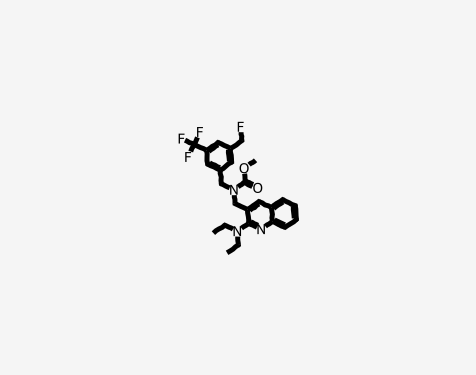 CCN(CC)c1nc2ccccc2cc1CN(Cc1cc(CF)cc(C(F)(F)F)c1)C(=O)OC